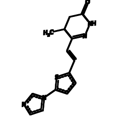 CC1CC(=O)NN=C1C=Cc1ccc(-n2ccnc2)s1